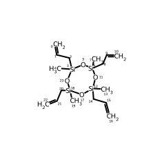 C=CC[Si]1(C)O[Si](C)(CC=C)O[Si](C)(CC=C)O[Si](C)(CC=C)O1